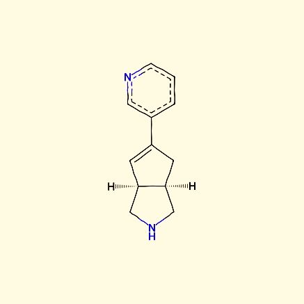 C1=C(c2cccnc2)C[C@H]2CNC[C@@H]12